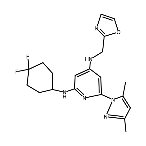 Cc1cc(C)n(-c2cc(NCc3ncco3)cc(NC3CCC(F)(F)CC3)n2)n1